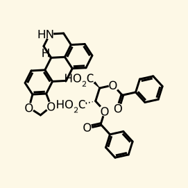 O=C(O[C@H](C(=O)O)[C@H](OC(=O)c1ccccc1)C(=O)O)c1ccccc1.c1cc2c3c(c1)Cc1c(ccc4c1OCO4)[C@H]3CNC2